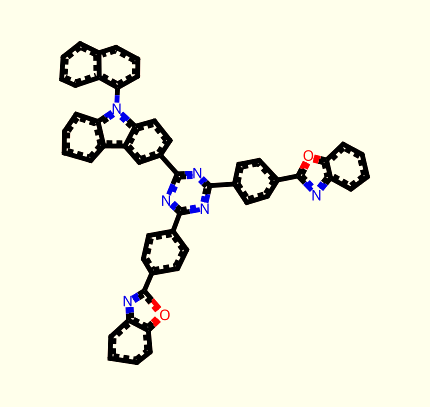 c1ccc2c(-n3c4ccccc4c4cc(-c5nc(-c6ccc(-c7nc8ccccc8o7)cc6)nc(-c6ccc(-c7nc8ccccc8o7)cc6)n5)ccc43)cccc2c1